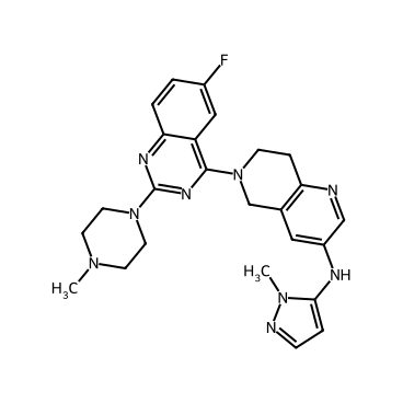 CN1CCN(c2nc(N3CCc4ncc(Nc5ccnn5C)cc4C3)c3cc(F)ccc3n2)CC1